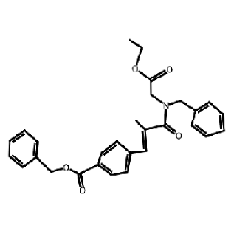 CCOC(=O)CN(Cc1ccccc1)C(=O)C(C)=Cc1ccc(C(=O)OCc2ccccc2)cc1